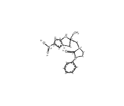 CC1(CN2CCN(c3ccccc3)C2=O)Cn2cc([N+](=O)[O-])nc2O1